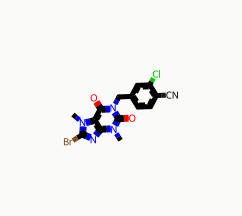 Cn1c(Br)nc2c1c(=O)n(Cc1ccc(C#N)c(Cl)c1)c(=O)n2C